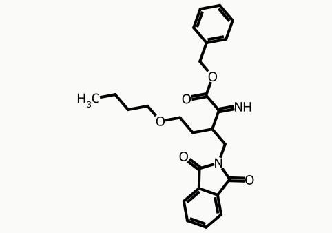 CCCCOCCC(CN1C(=O)c2ccccc2C1=O)C(=N)C(=O)OCc1ccccc1